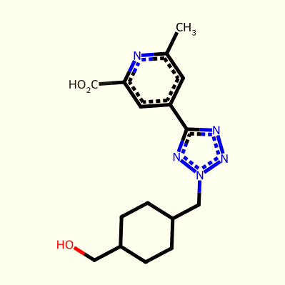 Cc1cc(-c2nnn(CC3CCC(CO)CC3)n2)cc(C(=O)O)n1